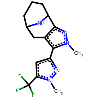 Cn1nc(-c2c3c(nn2C)C2CCCC(C3)N2)cc1C(F)(F)F